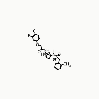 Cc1ccccc1CS(=O)(=O)NC12CC(C1)[C@@H](NC(=O)COc1ccc(Cl)c(F)c1)C2